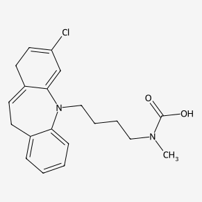 CN(CCCCN1C2=CC(Cl)=CCC2=CCc2ccccc21)C(=O)O